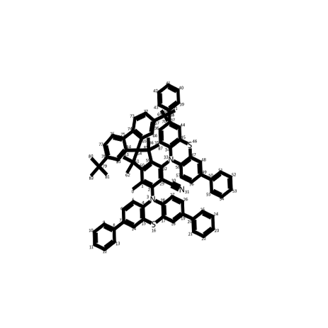 Cc1c(N2c3ccc(-c4ccccc4)cc3Sc3cc(-c4ccccc4)ccc32)c(C#N)c(N2c3ccc(-c4ccccc4)cc3Sc3cc(-c4ccccc4)ccc32)c2c1C(C)(C)C1(c3cc(C(C)(C)C)ccc3-c3ccc(C(C)(C)C)cc31)C2(C)C